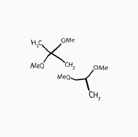 COC(C)(C)OC.COC(C)OC